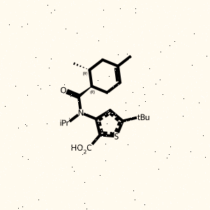 CC1=CC[C@@H](C(=O)N(c2cc(C(C)(C)C)sc2C(=O)O)C(C)C)[C@H](C)C1